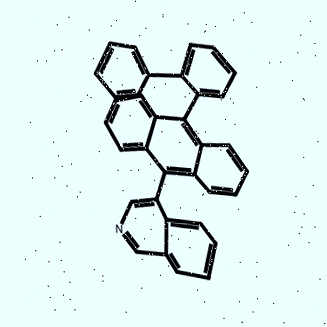 c1ccc(-c2ccccc2-c2c3ccccc3c(-c3cncc4ccccc34)c3ccccc23)cc1